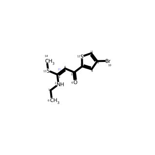 CCN/C(=C\C(=O)c1cc(Br)cs1)SC